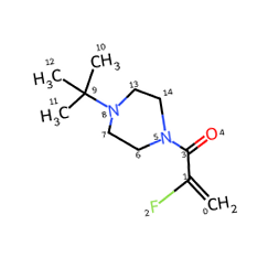 C=C(F)C(=O)N1CCN(C(C)(C)C)CC1